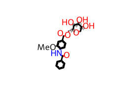 COc1cc(C(=O)OC[C@H]2OC[C@H](O)[C@@H](O)[C@H]2O)ccc1NC(=O)c1ccccc1